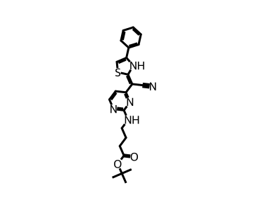 CC(C)(C)OC(=O)CCCNc1nccc(/C(C#N)=C2/NC(c3ccccc3)=CS2)n1